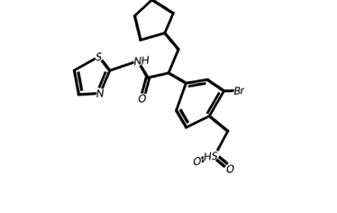 O=C(Nc1nccs1)C(CC1CCCC1)c1ccc(C[SH](=O)=O)c(Br)c1